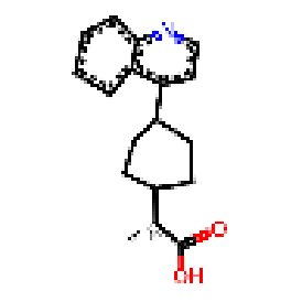 C[C@@H](C(=O)O)C1CCC(c2ccnc3ccccc23)CC1